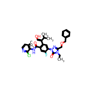 CCn1c(COCc2ccccc2)nn(-c2cc(C(=CO)C(C)C)c(C(=O)Nc3c(C)ccnc3Cl)cc2F)c1=O